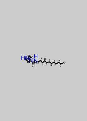 CCCCCCCCCCCCNC(C)N1CCNCC1